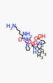 CC(C)[C@H](NC(=O)[C@@H]1CCCN1C(=O)CNC(=O)[C@@H](N)CCCCN)C(=O)N1CCC[C@H]1C(=O)O